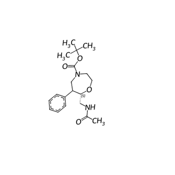 CC(=O)NC[C@H]1OCCN(C(=O)OC(C)(C)C)CC1c1ccccc1